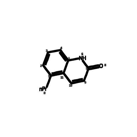 CCCc1cccc2[nH]c(=O)ccc12